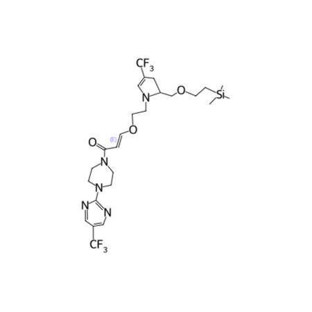 C[Si](C)(C)CCOCC1CC(C(F)(F)F)=CN1CCO/C=C/C(=O)N1CCN(c2ncc(C(F)(F)F)cn2)CC1